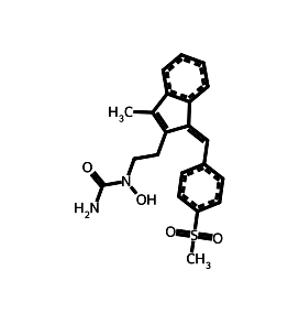 CC1=C(CCN(O)C(N)=O)C(=Cc2ccc(S(C)(=O)=O)cc2)c2ccccc21